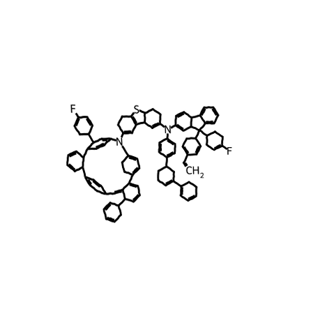 C=CC1=CCC(C2(C3CC=C(F)CC3)c3ccccc3C3C=CC(N(C4=CC5C6=C(CCC(N7C8=CC(C9C=CC(F)=CC9)C(C=C8)C8C=CC=CC8C8=CCC(C=C8)/C=C8\C(=CC=CC8C8C=CC=CC8)C8=CC=C7CC8)=C6)SC5CC4)c4ccc(C5CCC=C(C6=CC=CCC6)C5)cc4)=CC32)C=C1